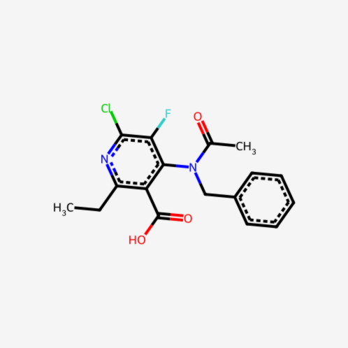 CCc1nc(Cl)c(F)c(N(Cc2ccccc2)C(C)=O)c1C(=O)O